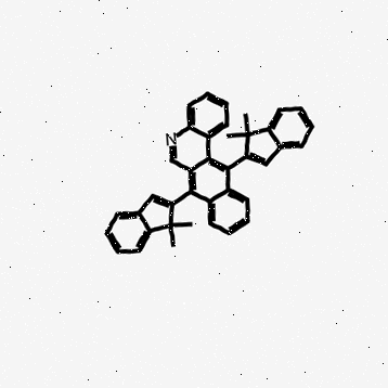 CC1(C)C(c2c3ccccc3c(C3=Cc4ccccc4C3(C)C)c3c2cnc2ccccc23)=Cc2ccccc21